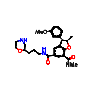 CNC(=O)c1cc(C(=O)NCCC[C@@H]2CNCCO2)cc2c1O[C@H](C)[C@H]2c1cccc(OC)c1